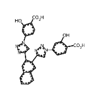 O=C(O)c1ccc(-n2cc(-c3cc4ccccc4cc3-c3cn(-c4ccc(C(=O)O)c(O)c4)nn3)nn2)cc1O